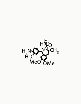 CCNC(=O)N1N=C(c2ccc(N)c(C)c2)c2cc(OC)c(OC)cc2C[C@H]1C